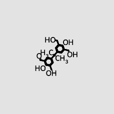 CC(C)(c1cc(C=O)c(O)c(CO)c1)c1cc(CO)c(O)c(CO)c1